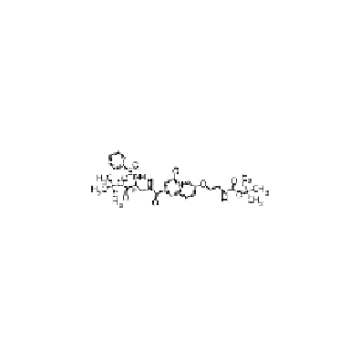 CC(C)(C)OC(=O)NCCOc1ccc2cc(C(=O)NC[C@H](NS(=O)(=O)c3ccccc3)C(=O)OC(C)(C)C)cc(=O)n2c1